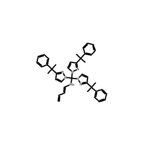 C=CC=[CH][Mn][C](n1ccc(C(C)(C)c2ccccc2)n1)(n1ccc(C(C)(C)c2ccccc2)n1)n1ccc(C(C)(C)c2ccccc2)n1